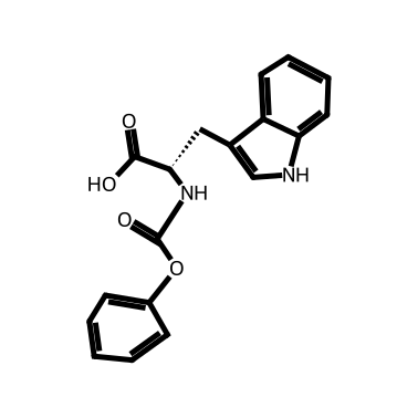 O=C(N[C@@H](Cc1c[nH]c2ccccc12)C(=O)O)Oc1ccccc1